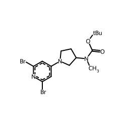 CN(C(=O)OC(C)(C)C)C1CCN(c2cc(Br)nc(Br)c2)C1